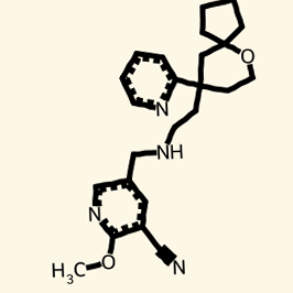 COc1ncc(CNCCC2(c3ccccn3)CCOC3(CCCC3)C2)cc1C#N